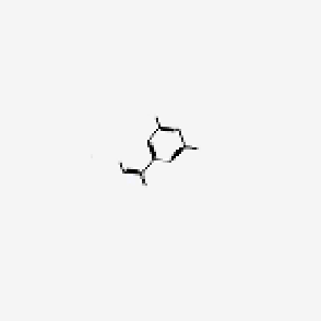 C/C(=C/C=O)c1cc(C)cc(C)c1